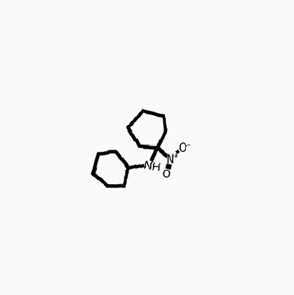 O=[N+]([O-])C1(NC2CCCCC2)CCCCC1